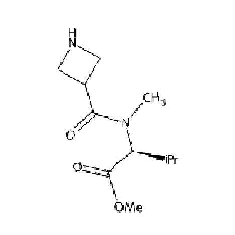 COC(=O)[C@H](C(C)C)N(C)C(=O)C1CNC1